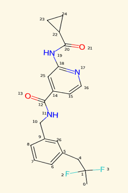 CC(F)(F)Cc1cccc(CNC(=O)c2ccnc(NC(=O)C3CC3)c2)c1